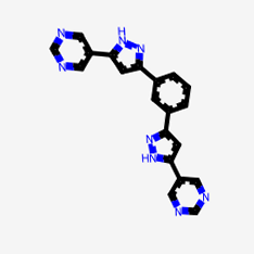 c1cc(-c2cc(-c3cncnc3)[nH]n2)cc(-c2cc(-c3cncnc3)[nH]n2)c1